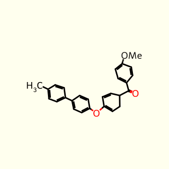 COc1ccc(C(=O)C2C=CC(Oc3ccc(-c4ccc(C)cc4)cc3)=CC2)cc1